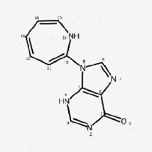 O=c1nc[nH]c2c1ncn2C1=CC=CC=CN1